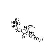 CCNC(=O)Nc1cc(-c2nc(C(F)(F)F)cs2)c(-c2cncc(-c3nnc(N(C)C(=O)O)o3)c2)cn1